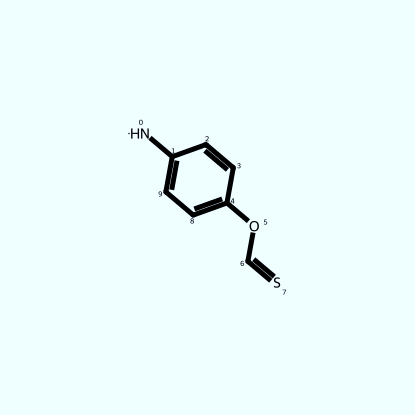 [NH]c1ccc(OC=S)cc1